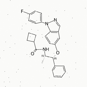 C[C@H](NC(=O)C1CCC1)[C@H](Oc1ccc2c(cnn2-c2ccc(F)cc2)c1)c1ccccc1